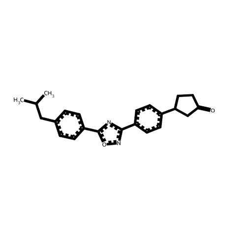 CC(C)Cc1ccc(-c2nc(-c3ccc(C4CCC(=O)C4)cc3)no2)cc1